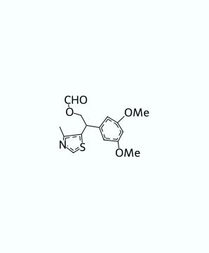 COc1cc(OC)cc(C(COC=O)c2scnc2C)c1